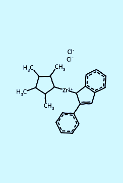 CC1C(C)C(C)[CH]([Zr+2][CH]2C(c3ccccc3)=Cc3ccccc32)C1C.[Cl-].[Cl-]